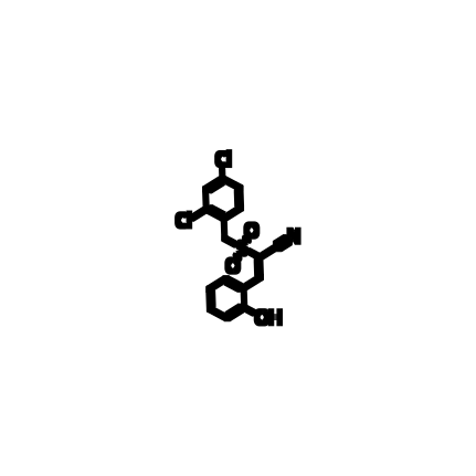 N#C/C(=C/c1ccccc1O)S(=O)(=O)Cc1ccc(Cl)cc1Cl